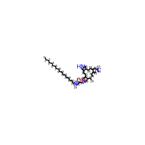 CCCCCCCCCCCCCCCCCC[N+](C)(C)CC(O)CN1CC(CC)C(CCC2CNCC2CCC2C[N+](C)(C)CC2CC)C1